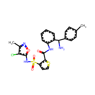 Cc1ccc(C(N)c2ccccc2NC(=O)c2sccc2S(=O)(=O)Nc2onc(C)c2Cl)cc1